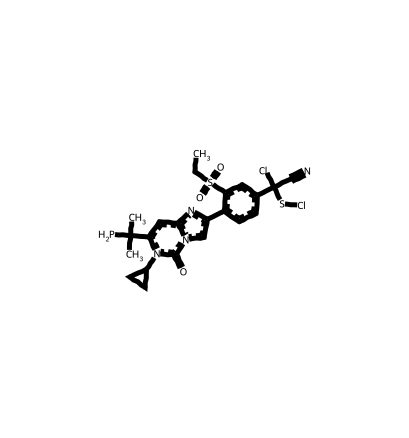 CCS(=O)(=O)c1cc(C(Cl)(C#N)SCl)ccc1-c1cn2c(=O)n(C3CC3)c(C(C)(C)P)cc2n1